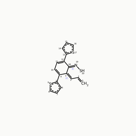 C=C/C=C1/C(c2cccs2)=CC=C(c2cccs2)/C1=N/S